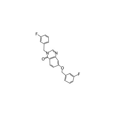 O=c1c2ccc(OCc3cccc(F)c3)cc2ncn1Cc1cccc(F)c1